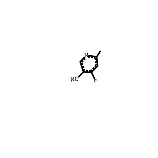 Cc1cc(F)c(C#N)cn1